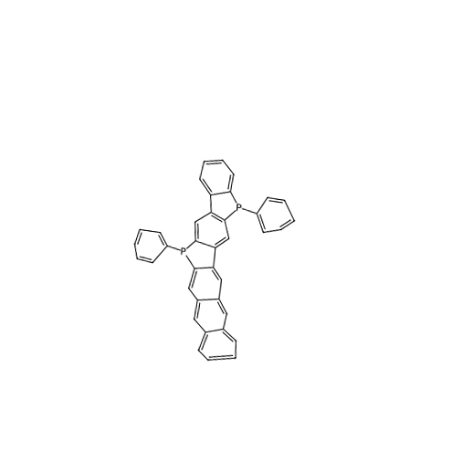 c1ccc(-p2c3ccccc3c3cc4c(cc32)c2cc3cc5ccccc5cc3cc2p4-c2ccccc2)cc1